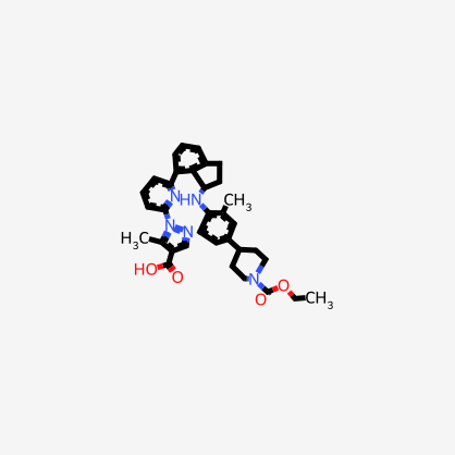 CCOC(=O)N1CCC(c2ccc(NC3CCc4cccc(-c5cccc(-n6ncc(C(=O)O)c6C)n5)c43)c(C)c2)CC1